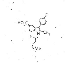 CNC/C=C(\F)Cn1c(C)c(-c2ccc(F)cc2)c2cc(C(=O)O)ccc21